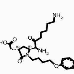 NCCCCCC(=O)C(N)[C@@H]1C[C@@H](CC(=O)O)C(=O)N1CCCCOc1ccccc1